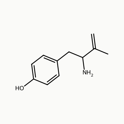 C=C(C)C(N)Cc1ccc(O)cc1